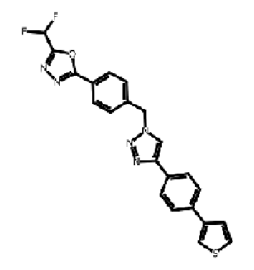 FC(F)c1nnc(-c2ccc(Cn3cc(-c4ccc(-c5ccsc5)cc4)nn3)cc2)o1